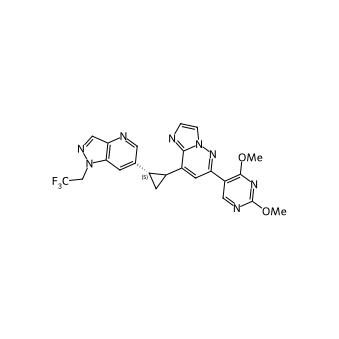 COc1ncc(-c2cc(C3C[C@@H]3c3cnc4cnn(CC(F)(F)F)c4c3)c3nccn3n2)c(OC)n1